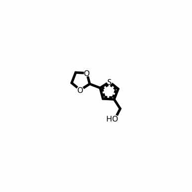 OCc1csc(C2OCCO2)c1